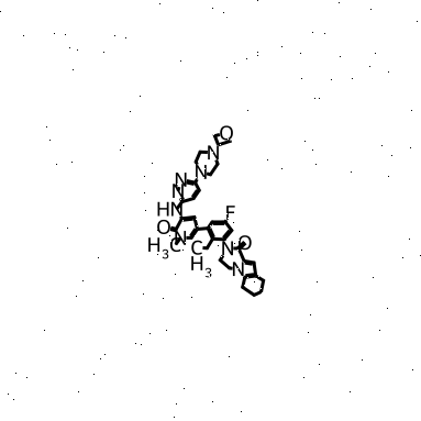 CCc1c(-c2cc(Nc3ccc(N4CCN(C5COC5)CC4)nn3)c(=O)n(C)c2)cc(F)cc1N1CCn2c(cc3c2CCCC3)C1=O